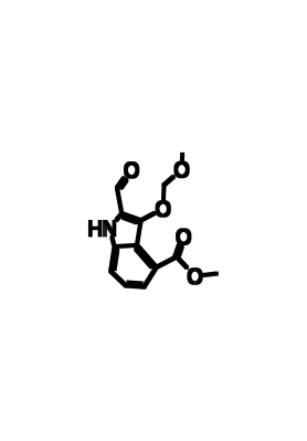 COCOc1c(C=O)[nH]c2cccc(C(=O)OC)c12